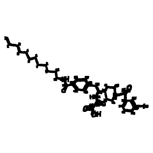 CCCCCCCCCCCCNC(=O)c1ccc(CC(NC(=O)C(=O)O)C2CCN(C(=O)c3cccc(I)c3)CC2)cc1